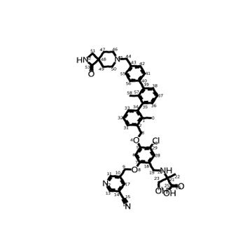 Cc1c(COc2cc(OCc3cncc(C#N)c3)c(CNC(C)(CO)C(=O)O)cc2Cl)cccc1-c1cccc(-c2ccc(CN3CCC4(CC3)CNC4=O)cc2)c1C